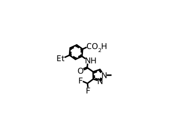 CCc1ccc(C(=O)O)c(NC(=O)c2cn(C)nc2C(F)F)c1